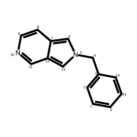 c1ccc(Cn2cc3ccncc3c2)cc1